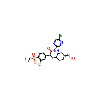 CS(=O)(=O)c1ccc(C(CC2CCC(=NO)CC2)C(=O)Nc2cnc(Br)cn2)cc1Cl